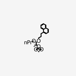 CCCOC(OCCCc1cccc2ccccc12)[C@H](C)OS(C)(=O)=O